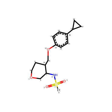 CCS(=O)(=O)NC1COCCC1COc1ccc(C2CC2)cc1